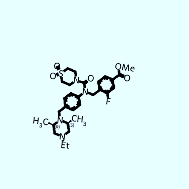 CCN1C[C@@H](C)N(Cc2ccc(N(Cc3ccc(C(=O)OC)cc3F)C(=O)N3CCS(=O)(=O)CC3)cc2)[C@@H](C)C1